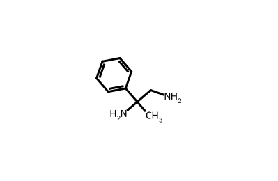 CC(N)(CN)c1ccccc1